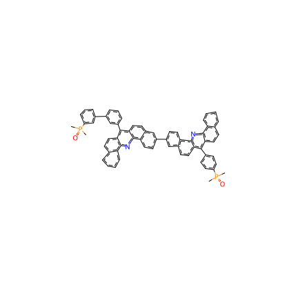 CP(C)(=O)c1ccc(-c2c3ccc4ccccc4c3nc3c2ccc2cc(-c4ccc5c(ccc6c(-c7cccc(-c8cccc(P(C)(C)=O)c8)c7)c7ccc8ccccc8c7nc65)c4)ccc23)cc1